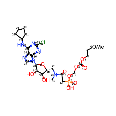 COCCOC(=O)OCOP(=O)(O)CC(=O)N(C)C[C@H]1O[C@@H](n2cnc3c(NC4CCCC4)nc(Cl)nc32)[C@H](O)[C@@H]1O